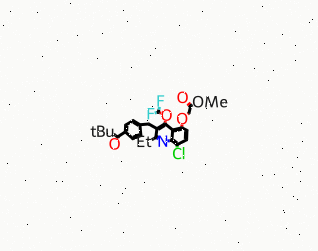 CCc1nc2c(Cl)ccc(OCC(=O)OC)c2c(OC(F)F)c1Cc1ccc(C(=O)C(C)(C)C)cc1